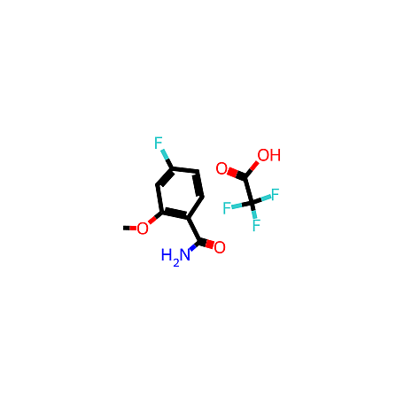 COc1cc(F)ccc1C(N)=O.O=C(O)C(F)(F)F